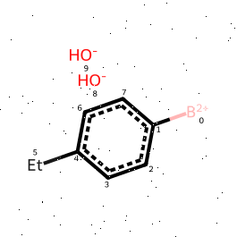 [B+2]c1ccc(CC)cc1.[OH-].[OH-]